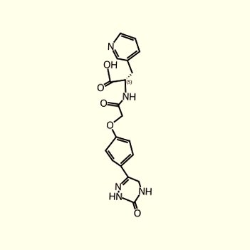 O=C(COc1ccc(C2=NNC(=O)NC2)cc1)N[C@@H](Cc1cccnc1)C(=O)O